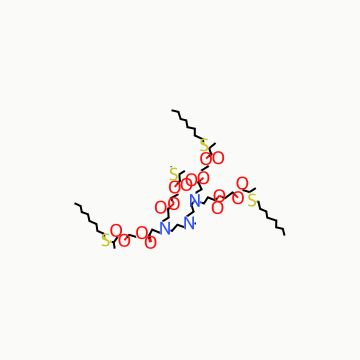 CCCCCCCCSC(C)C(=O)OCCOC(=O)CCN(CCCN(C)CCCN(CCC(=O)OCCOC(=O)C(C)SCCCCCCCC)CCC(=O)OCCOC(=O)C(C)SCCCCCCCC)CCC(=O)OCCOC(=O)C(C)SC